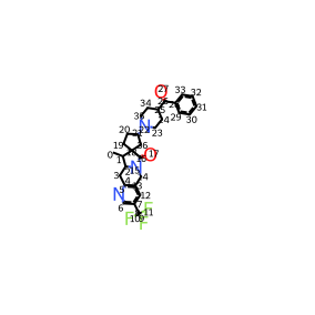 CC1C2Cc3ncc(C(F)(F)F)cc3CN2C(=O)C12CCC(N1CCC(C(=O)c3ccccc3)CC1)C2